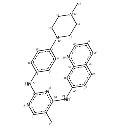 Cc1cnc(Nc2ccc(N3CCN(C)CC3)cc2)nc1Nc1ccc2cccnc2c1